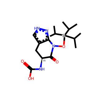 CC(C)[Si](ON1C(=O)[C@@H](NC(=O)O)Cc2c[nH]nc21)(C(C)C)C(C)C